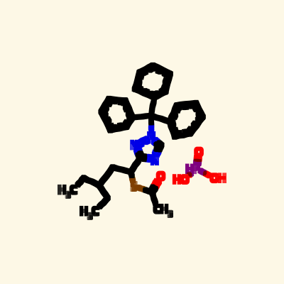 CCC(CC)CC(SC(C)=O)c1ncn(C(c2ccccc2)(c2ccccc2)c2ccccc2)n1.O=[PH](O)O